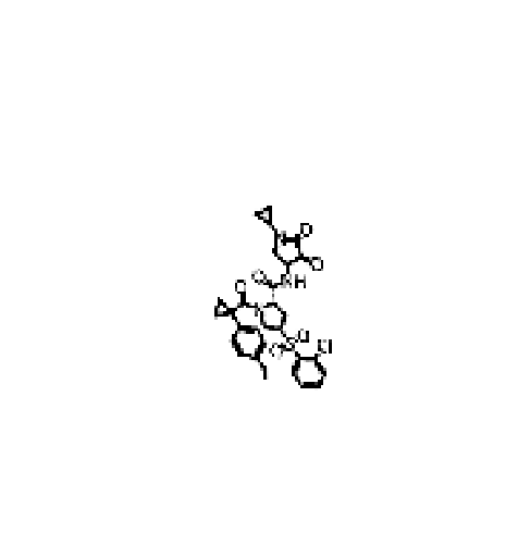 O=C1C(=O)N(C2CC2)C[C@@H]1NC(=O)[C@@H]1C[C@@H](S(=O)(=O)c2ccccc2Cl)CN1C(=O)C1(c2ccc(I)cc2)CC1